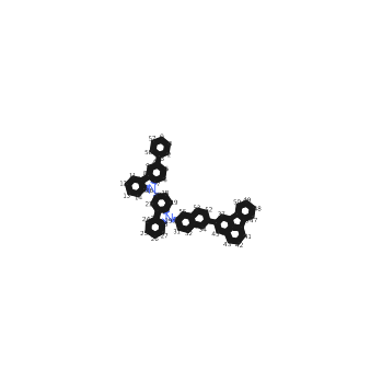 c1ccc(-c2ccc3c(c2)c2ccccc2n3-c2ccc3c(c2)c2ccccc2n3-c2ccc3cc(-c4cc5c6c(cccc6c4)-c4ccccc4-5)ccc3c2)cc1